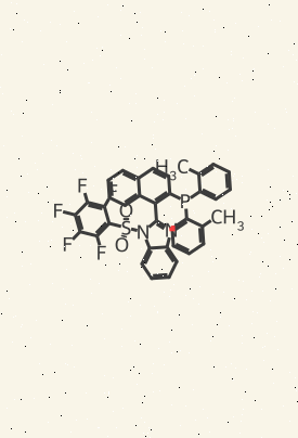 Cc1ccccc1P(c1ccccc1C)c1ccc2ccccc2c1-c1nc2ccccc2n1S(=O)(=O)c1c(F)c(F)c(F)c(F)c1F